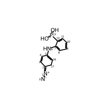 [N-]=[N+]=C1C=CC(Nc2ccccc2P(O)O)=CC1